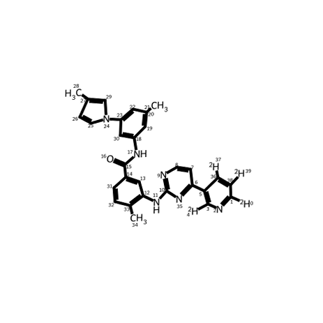 [2H]c1nc([2H])c(-c2ccnc(Nc3cc(C(=O)Nc4cc(C)cc(-n5ccc(C)c5)c4)ccc3C)n2)c([2H])c1[2H]